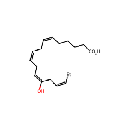 CC/C=C\C/C(O)=C\C/C=C\C/C=C\CCCCC(=O)O